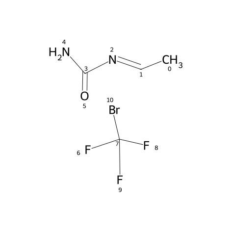 CC=NC(N)=O.FC(F)(F)Br